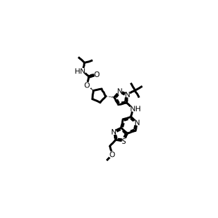 COCc1nc2cc(Nc3cc([C@@H]4CC[C@H](OC(=O)NC(C)C)C4)nn3C(C)(C)C)ncc2s1